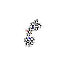 O=c1c2ccc(N3c4ccccc4C(c4ccccc4)(c4ccccc4)c4ccccc43)cc2sc2cc(N3c4ccccc4C(c4ccccc4)(c4ccccc4)c4ccccc43)ccc12